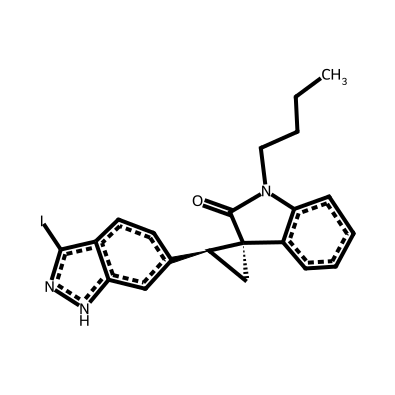 CCCCN1C(=O)[C@@]2(C[C@H]2c2ccc3c(I)n[nH]c3c2)c2ccccc21